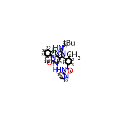 Cc1ccc(C(=O)Nc2nccs2)cc1-c1nc(NCC(C)(C)C)nc2c1CNC(=O)N2c1c(F)cccc1F